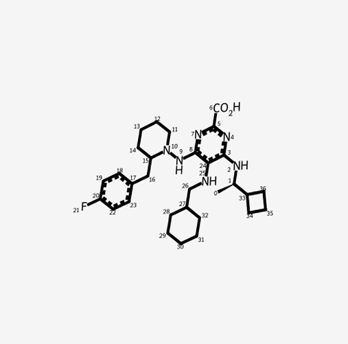 C[C@@H](Nc1nc(C(=O)O)nc(NN2CCCCC2Cc2ccc(F)cc2)c1NCC1CCCCC1)C1CCC1